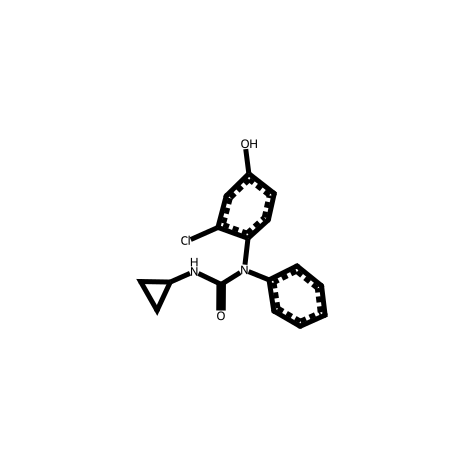 O=C(NC1CC1)N(c1ccccc1)c1ccc(O)cc1Cl